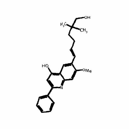 COc1cc2nc(-c3ccccc3)cc(O)c2cc1/C=C/CCC(C)(C)CO